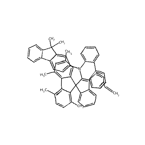 C=C/C=C\C1=C(N(c2ccc3c(c2)C(C)(C)c2ccccc2-3)c2ccccc2-c2ccccc2)C2(c3ccccc31)c1cc(C)cc(C)c1-c1c(C)ccc(C)c12